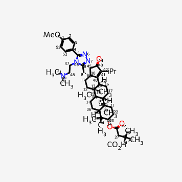 COc1ccc(-c2nnc(C[C@@]34CC[C@]5(C)[C@H](CC[C@@H]6[C@@]7(C)CC[C@H](OC(=O)CC(C)(C)C(=O)O)C(C)(C)[C@@H]7CC[C@]65C)C3=C(C(C)C)C(=O)C4)n2CCN(C)C)cc1